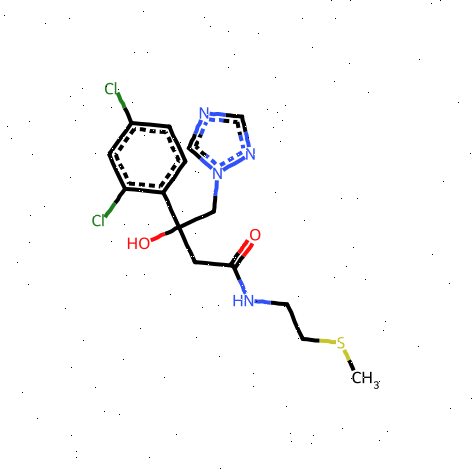 CSCCNC(=O)CC(O)(Cn1cncn1)c1ccc(Cl)cc1Cl